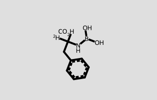 [2H]C(Cc1ccccc1)(NB(O)O)C(=O)O